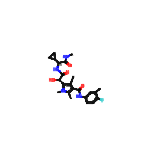 CNC(=O)[C@@H](NC(=O)C(O)c1c(C)c(C(=O)Nc2ccc(F)c(C)c2)c(C)n1C)C1CC1